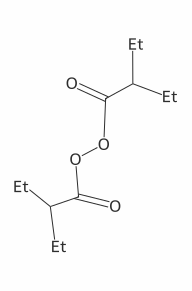 CCC(CC)C(=O)OOC(=O)C(CC)CC